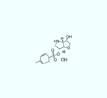 Cc1ccc(S(=O)(=O)O[C@@H]2CN[C@H]3[C@H]2OC[C@@H]3O)cc1.Cl